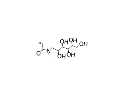 C=CC(=O)N(C)C[C@H](O)[C@@H](O)[C@H](O)[C@H](O)CO